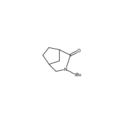 CC(C)(C)N1CC2CCC(C2)C1=O